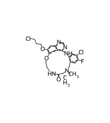 C[C@@H]1C(=O)NCCCOc2cc3c(ncnc3cc2OCCCCl)Nc2cc(Cl)c(F)cc2CN1C